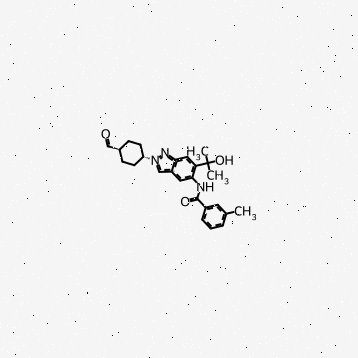 Cc1cccc(C(=O)Nc2cc3cn([C@H]4CC[C@H](C=O)CC4)nc3cc2C(C)(C)O)c1